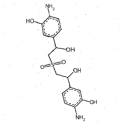 Nc1ccc(C(O)CS(=O)(=O)CC(O)c2ccc(N)c(O)c2)cc1O